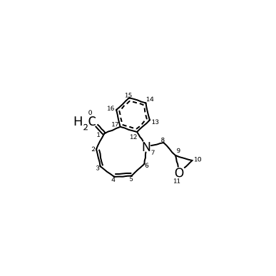 C=C1/C=C\C=C/CN(CC2CO2)c2ccccc21